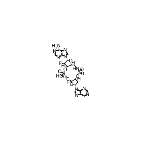 Nc1ncnc2c1ncn2[C@@H]1O[C@@H]2CNS(=O)(=O)O[C@H]3C[C@H](n4cnc5cncnc54)O[C@@H]3COP(=O)(O)O[C@H]2[C@H]1F